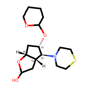 OC1C[C@H]2[C@H](N3CCSCC3)[C@@H](OC3CCCCO3)C[C@H]2O1